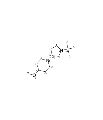 COC1CCN([C@@H]2CCN(C(C)(C)C)C2)CC1